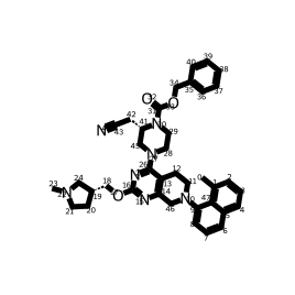 Cc1cccc2cccc(N3CCc4c(nc(OC[C@@H]5CCN(C)C5)nc4N4CCN(C(=O)OCc5ccccc5)[C@@H](CC#N)C4)C3)c12